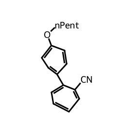 CCCCCOc1ccc(-c2ccccc2C#N)cc1